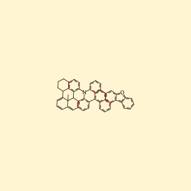 CC12C(=CC=CC1c1ccccc1N(c1cccc(-c3ccc4c(c3)oc3ccccc34)c1)c1ccccc1-c1cccc3ccccc13)C=CC=C2C1CCCCC1